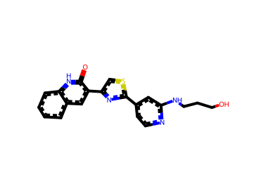 O=c1[nH]c2ccccc2cc1-c1csc(-c2ccnc(NCCCO)c2)n1